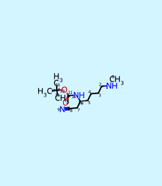 CNCCCC[C@@H](CC#N)NC(=O)OC(C)(C)C